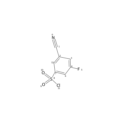 N#Cc1cc(F)cc(S(=O)(=O)Cl)c1